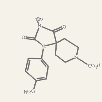 COc1ccc(N2C(=O)N(C(C)(C)C)C(=O)C23CCN(C(=O)O)CC3)cc1